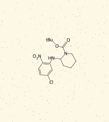 CC(C)(C)OC(=O)N1CCCCC1Nc1cc(Cl)ccc1[N+](=O)[O-]